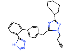 C#CCCn1nc(C2CCCCC2)nc1Cc1ccc(-c2ccccc2-c2nnn[nH]2)cc1